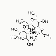 CCC(C)O[C@@H]1C(O)[C@H](C(C)(CC)OC([C@H](O)C(O)CO)[C@@H](O)CO)OC(CO)[C@H]1O